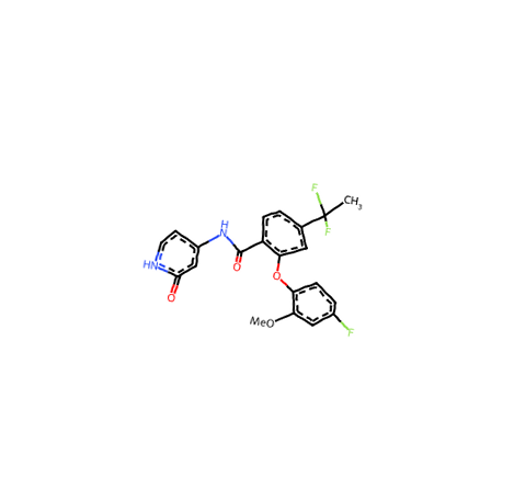 COc1cc(F)ccc1Oc1cc(C(C)(F)F)ccc1C(=O)Nc1cc[nH]c(=O)c1